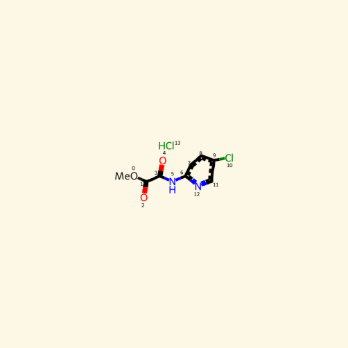 COC(=O)C(=O)Nc1ccc(Cl)cn1.Cl